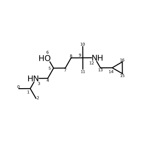 CC(C)NCC(O)CCC(C)(C)NCC1CC1